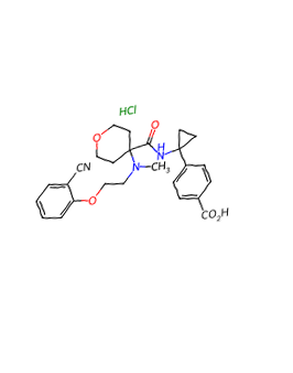 CN(CCOc1ccccc1C#N)C1(C(=O)NC2(c3ccc(C(=O)O)cc3)CC2)CCOCC1.Cl